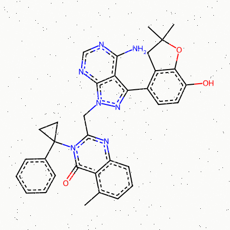 Cc1cccc2nc(Cn3nc(-c4ccc(O)c5c4CC(C)(C)O5)c4c(N)ncnc43)n(C3(c4ccccc4)CC3)c(=O)c12